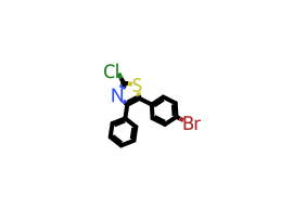 Clc1nc(-c2ccccc2)c(-c2ccc(Br)cc2)s1